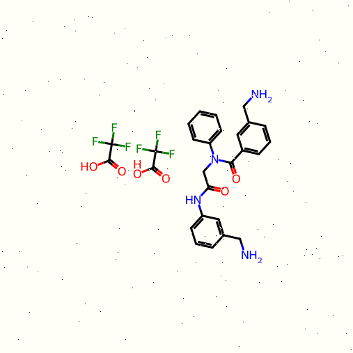 NCc1cccc(NC(=O)CN(C(=O)c2cccc(CN)c2)c2ccccc2)c1.O=C(O)C(F)(F)F.O=C(O)C(F)(F)F